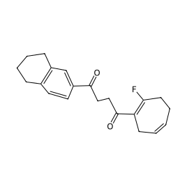 O=C(CCC(=O)c1ccc2c(c1)CCCC2)C1=C(F)CCC=CC1